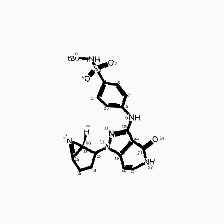 CC(C)(C)NS(=O)(=O)c1ccc(Nc2nn(C3CCC4=N[C@@H]43)c3cc[nH]c(=O)c23)cc1